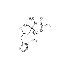 CCC(Cc1nccn1C)CC(C)(C)N(C)S(C)(=O)=O